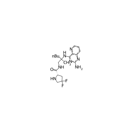 CCCCC(C)(CNC(=O)[C@@H]1CC(F)(F)CN1)Nc1nc(N)nc2cccnc12